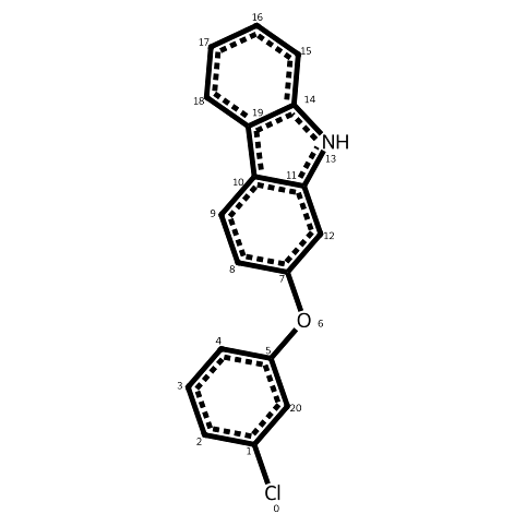 Clc1cccc(Oc2ccc3c(c2)[nH]c2ccccc23)c1